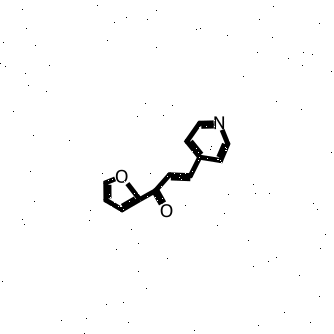 O=C(C=Cc1ccncc1)c1ccco1